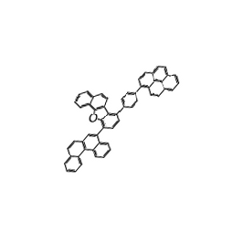 c1ccc2c(c1)ccc1c2oc2c(-c3cc4ccc5ccccc5c4c4ccccc34)ccc(-c3ccc(-c4ccc5ccc6cccc7ccc4c5c67)cc3)c21